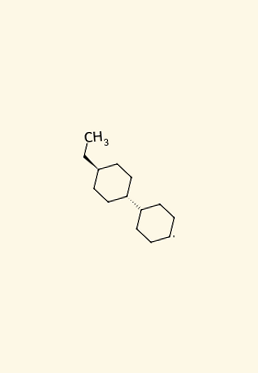 CC[C@H]1CC[C@H](C2CC[CH]CC2)CC1